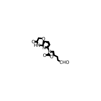 O=CCCc1cn(-c2ccc3c(n2)NC(=O)CO3)c(=O)o1